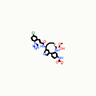 COC(=O)Nc1ccc2c(c1)N[C@@H](C(O)OC)CCCC[C@H](NC(=O)/C=C/c1cc(Cl)ccc1-n1cnnn1)c1cncc-2c1